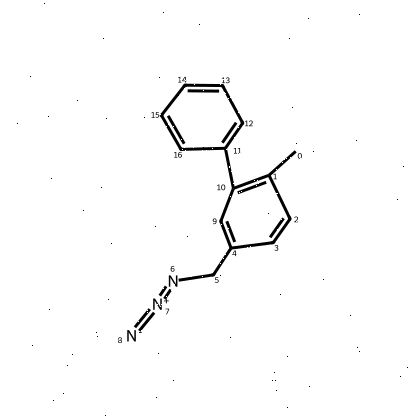 Cc1ccc(CN=[N+]=[N-])cc1-c1ccccc1